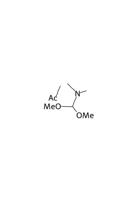 CC(C)=O.COC(OC)N(C)C